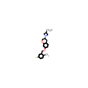 O=C(O)C1CN(C2COc3cc(OCc4cc(F)ccc4C(F)(F)F)ccc3C2)C1